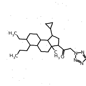 CCCC1C(CC)CCC2C1CCC1(C)C(C(=O)Cn3ncnn3)CC(C3CC3)C21